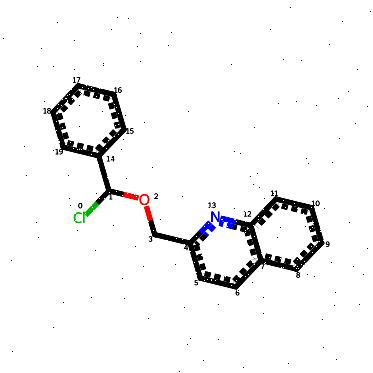 ClC(OCc1ccc2ccccc2n1)c1ccccc1